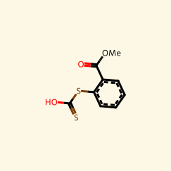 COC(=O)c1ccccc1SC(O)=S